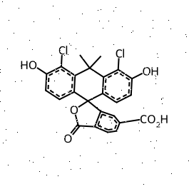 CC1(C)c2c(ccc(O)c2Cl)C2(OC(=O)c3ccc(C(=O)O)cc32)c2ccc(O)c(Cl)c21